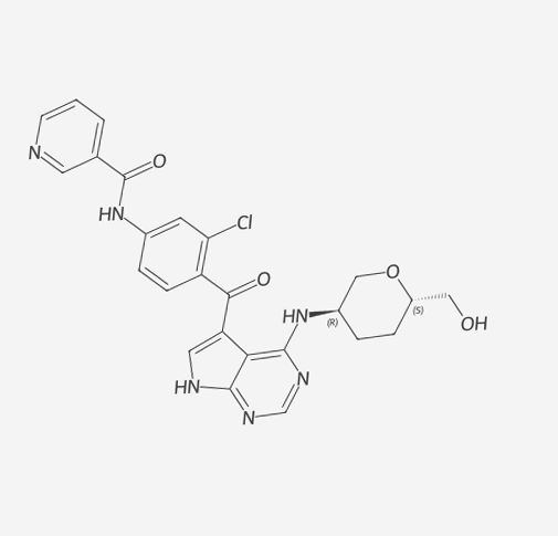 O=C(Nc1ccc(C(=O)c2c[nH]c3ncnc(N[C@@H]4CC[C@@H](CO)OC4)c23)c(Cl)c1)c1cccnc1